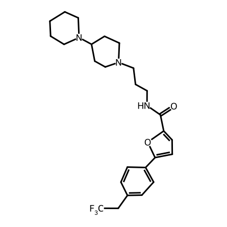 O=C(NCCCN1CCC(N2CCCCC2)CC1)c1ccc(-c2ccc(CC(F)(F)F)cc2)o1